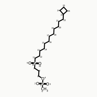 CS(=O)(=O)OCCCS(=O)(=O)CCCCCCCCCCCCC1CCC1